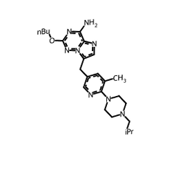 CCCCOc1nc(N)c2ncc(Cc3cnc(N4CCN(CC(C)C)CC4)c(C)c3)n2n1